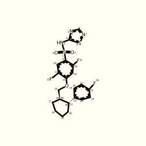 O=S(=O)(Nc1ncns1)c1cc(F)c(OC[C@@H]2CCCC[C@H]2c2ccc(F)cc2)cc1F